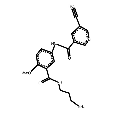 C#Cc1cncc(C(=O)Nc2ccc(OC)c(C(=O)NCCCN)c2)c1